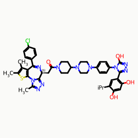 Cc1sc2c(c1C)C(c1ccc(Cl)cc1)=N[C@@H](CC(=O)N1CCC(N3CCN(c4ccc(-n5c(O)nnc5-c5cc(C(C)C)c(O)cc5O)cc4)CC3)CC1)c1nnc(C)n1-2